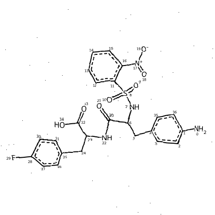 Nc1ccc(CC(NS(=O)(=O)c2ccccc2[N+](=O)[O-])C(=O)NC(Cc2ccc(F)cc2)C(=O)O)cc1